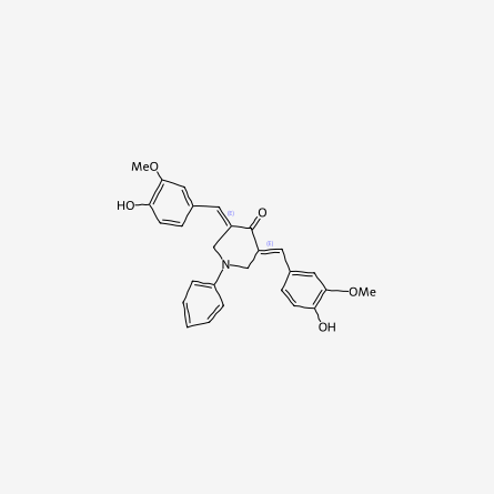 COc1cc(/C=C2\CN(c3ccccc3)C/C(=C\c3ccc(O)c(OC)c3)C2=O)ccc1O